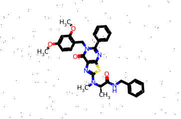 COc1ccc(Cn2c(-c3ccccc3)nc3sc(N(C)[C@H](C)C(=O)NCc4ccccc4)nc3c2=O)c(OC)c1